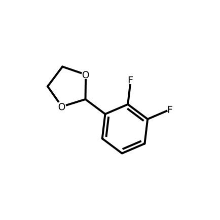 Fc1cccc(C2OCCO2)c1F